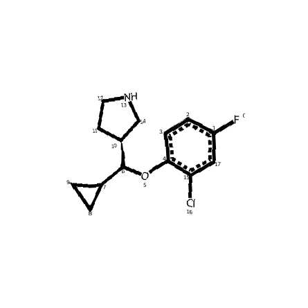 Fc1ccc(OC(C2CC2)[C@H]2CCNC2)c(Cl)c1